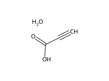 C#CC(=O)O.O